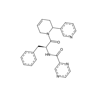 O=C(N[C@@H](Cc1ccccc1)C(=O)N1CC=CCC1c1cccnc1)c1cnccn1